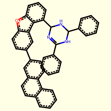 c1ccc(C2=NC(c3cccc4oc5ccc(-c6ccc7c(ccc8ccccc87)c6)cc5c34)NC(c3ccccc3)N2)cc1